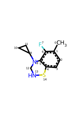 Cc1ccc2c(c1F)N(C1CC1)CNS2